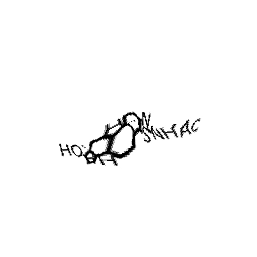 CC(=O)Nc1nc2c(s1)C1=CC[C@H]3[C@@H]4CC[C@H](O)[C@@]4(C)CC[C@@H]3[C@@]1(C)CC2